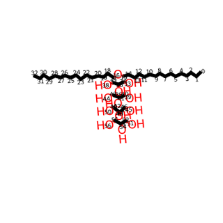 CCCCCCCCCCCCCCCCOCCCCCCCCCCCCCCCC.OCC(O)CO.OCC(O)CO.OCC(O)CO.OCC(O)CO